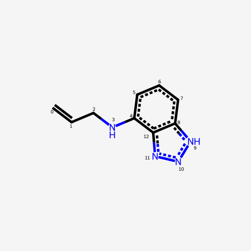 C=CCNc1cccc2[nH]nnc12